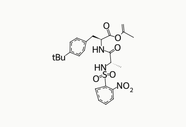 C=C(C)OC(=O)[C@H](Cc1ccc(C(C)(C)C)cc1)NC(=O)[C@H](C)NS(=O)(=O)c1ccccc1[N+](=O)[O-]